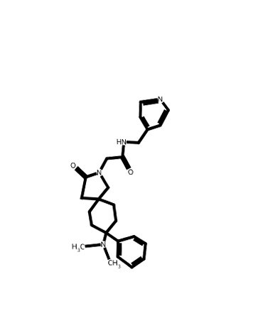 CN(C)C1(c2ccccc2)CCC2(CC1)CC(=O)N(CC(=O)NCc1ccncc1)C2